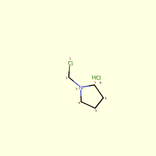 Cl.ClCN1CCCC1